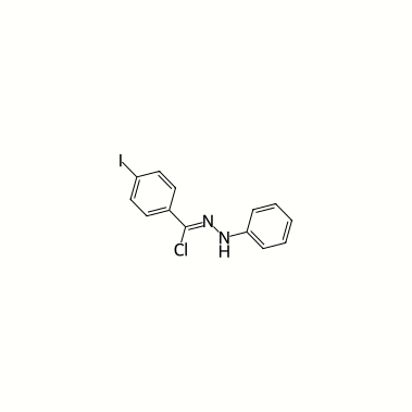 ClC(=NNc1ccccc1)c1ccc(I)cc1